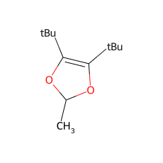 CC1OC(C(C)(C)C)=C(C(C)(C)C)O1